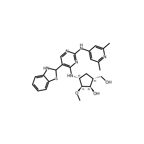 CO[C@@H]1[C@H](O)[C@@H](CO)C[C@H]1Nc1nc(Nc2cc(C)nc(C)c2)ncc1C1Nc2ccccc2S1